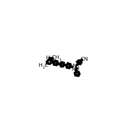 C[C@@H]1C[C@@H]2C[C@H](C)CC(c3ccc(-c4ccc(-c5ccc(-c6nc(-c7ccccc7)nc(-c7ccc(C#N)cc7)n6)cc5)cc4)cc3)(C1)C2